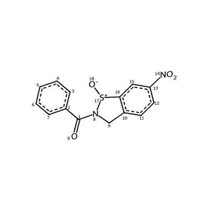 O=C(c1ccccc1)N1Cc2ccc([N+](=O)[O-])cc2[S+]1[O-]